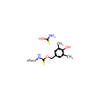 CCCCCNC(=S)OCc1cc(C)c(O)c(C)c1.NC(O)=S